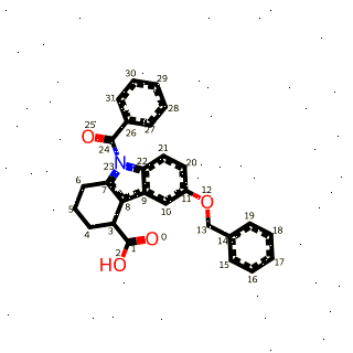 O=C(O)C1CCCc2c1c1cc(OCc3ccccc3)ccc1n2C(=O)c1ccccc1